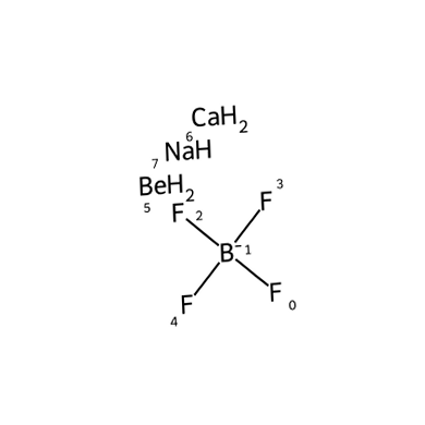 F[B-](F)(F)F.[BeH2].[CaH2].[NaH]